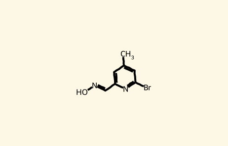 Cc1cc(Br)nc(C=NO)c1